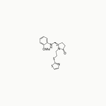 COc1ccccc1NC[C@H]1CCC(=O)N1CCSc1nccs1